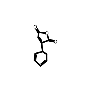 O=C1C=C(C2C=CC=CC2)C(=O)O1